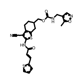 Cc1oncc1CNC(=O)OCC1CCc2c(sc(NC(=O)C=Cc3cccs3)c2C#N)C1